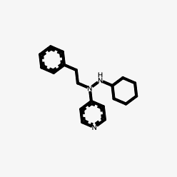 c1ccc(CCN(NC2CCCCC2)c2ccncc2)cc1